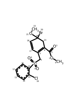 COC(=O)C1=C(CS(=O)(=O)c2ccccc2Cl)C=CC(Br)(OC)C1